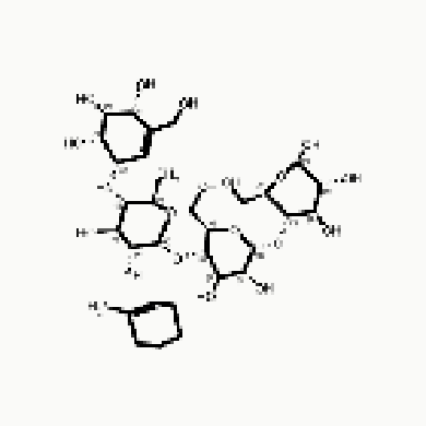 C[C@H]1O[C@H](O[C@H]2[C@H](O)[C@@H](O)[C@@H](O[C@H]3[C@H](O)[C@@H](O)[C@H](O)O[C@@H]3CO)O[C@@H]2CO)[C@H](O)[C@@H](O)[C@@H]1N[C@H]1C=C(CO)[C@@H](O)[C@H](O)[C@H]1O.NC1=CCCCC1